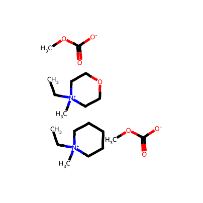 CC[N+]1(C)CCCCC1.CC[N+]1(C)CCOCC1.COC(=O)[O-].COC(=O)[O-]